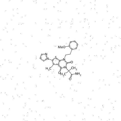 COc1ccccc1CCn1c(=O)n(C(C)(C)C(N)=O)c(=O)c2c(C)c(-n3cccn3)sc21